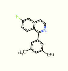 Cc1cc(-c2nccc3cc(F)ccc23)cc(C(C)(C)C)c1